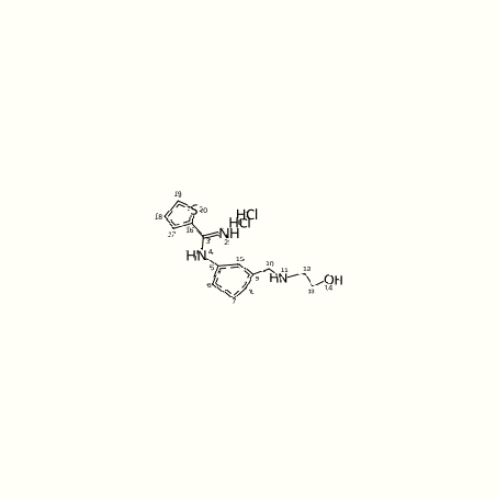 Cl.Cl.N=C(Nc1cccc(CNCCO)c1)c1cccs1